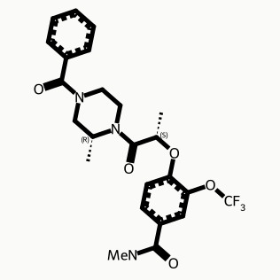 CNC(=O)c1ccc(O[C@@H](C)C(=O)N2CCN(C(=O)c3ccccc3)C[C@H]2C)c(OC(F)(F)F)c1